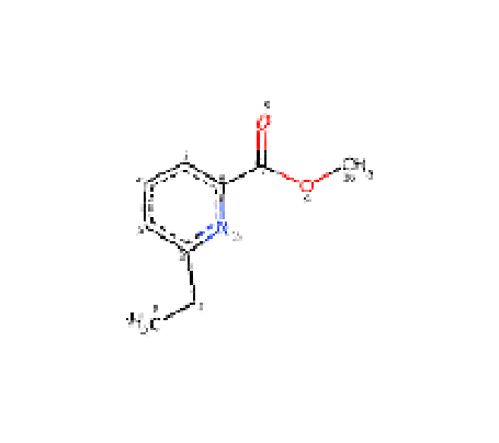 [CH2]Cc1cccc(C(=O)OC)n1